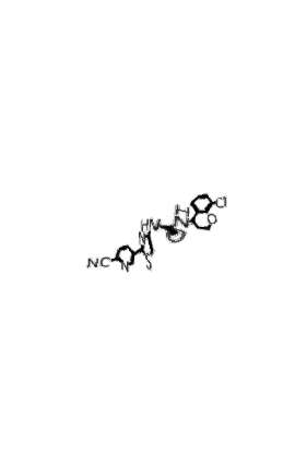 N#Cc1ccc(-c2nc(NC(=O)N[C@H]3CCOc4c(Cl)cccc43)cs2)cn1